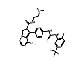 CN(C)CCNC(=O)C1CN2N=CN=C(N)C2=C1c1ccc(NC(=O)Nc2cc(C(F)(F)F)ccc2F)cc1